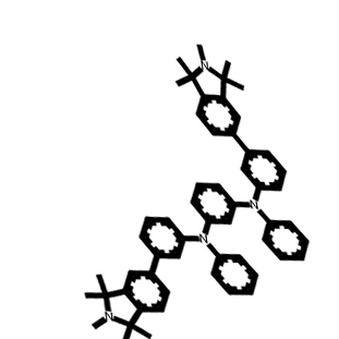 CN1C(C)(C)c2ccc(-c3cccc(N(c4ccccc4)c4cccc(N(c5ccccc5)c5cccc(-c6ccc7c(c6)C(C)(C)N(C)C7(C)C)c5)c4)c3)cc2C1(C)C